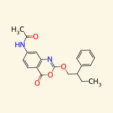 CCC(COc1nc2cc(NC(C)=O)ccc2c(=O)o1)c1ccccc1